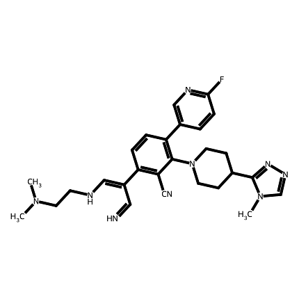 CN(C)CCN/C=C(\C=N)c1ccc(-c2ccc(F)nc2)c(N2CCC(c3nncn3C)CC2)c1C#N